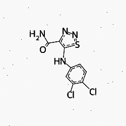 NC(=O)c1nnsc1Nc1ccc(Cl)c(Cl)c1